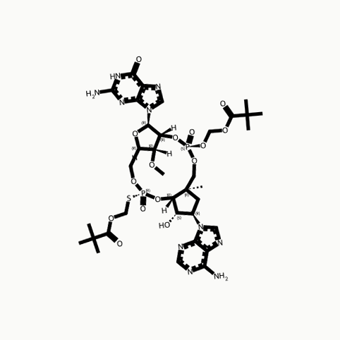 CO[C@H]1[C@H]2O[P@@](=O)(OCOC(=O)C(C)(C)C)OC[C@@]3(C)C[C@@H](n4cnc5c(N)ncnc54)[C@H](O)[C@@H]3O[P@](=O)(SCOC(=O)C(C)(C)C)OC[C@H]1O[C@H]2n1cnc2c(=O)[nH]c(N)nc21